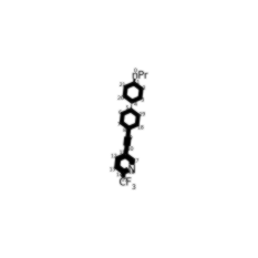 CCC[C@H]1CC[C@H](C2CCC(C#Cc3ccc(C(F)(F)F)nc3)CC2)CC1